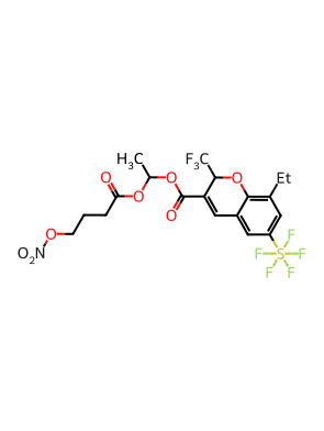 CCc1cc(S(F)(F)(F)(F)F)cc2c1OC(C(F)(F)F)C(C(=O)OC(C)OC(=O)CCCO[N+](=O)[O-])=C2